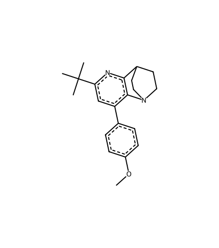 COc1ccc(-c2cc(C(C)(C)C)nc3c2N2CCC3CC2)cc1